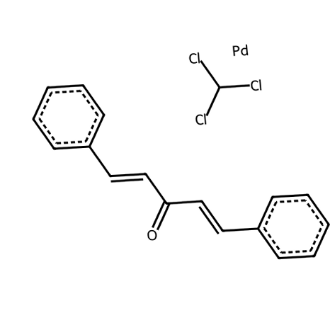 ClC(Cl)Cl.O=C(C=Cc1ccccc1)C=Cc1ccccc1.[Pd]